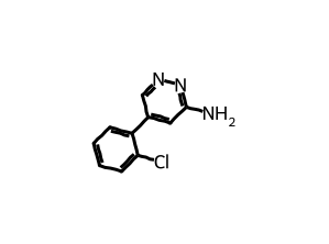 Nc1cc(-c2ccccc2Cl)cnn1